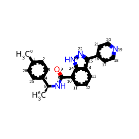 Cc1ccc([C@H](C)NC(=O)c2cccc3c(-c4ccncc4)n[nH]c23)cc1